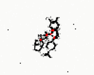 CC(=O)N1CCC(C(=O)N(CCCN2C3CCC2CC(NS(=O)(=O)c2cccs2)C3)c2ccc(C)c(Cl)c2)CC1